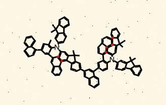 Cc1cc(-c2cccc3ccccc23)cc(-c2ccc3ccccc3c2)c1N(c1ccc2c(c1)C(C)(C)c1ccccc1-2)c1ccc2c(c1)C(C)(C)c1cc(-c3cc(-c4ccc(N(c5ccc6c(c5)C(C)(C)c5ccccc5-6)c5ccc6c(c5)C(C)(C)c5ccccc5-6)c(-c5ccc6ccccc6c5)c4)c4ccccc4c3)ccc1-2